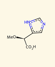 CO[C@H](C(=O)O)c1cnc[nH]1